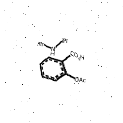 CC(=O)Oc1ccccc1C(=O)O.CC(C)NC(C)C